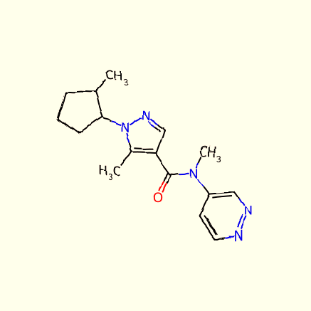 Cc1c(C(=O)N(C)c2ccnnc2)cnn1C1CCCC1C